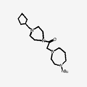 CCCCN1CCCN(CC(=O)N2CCN(C3CCCC3)CC2)CC1